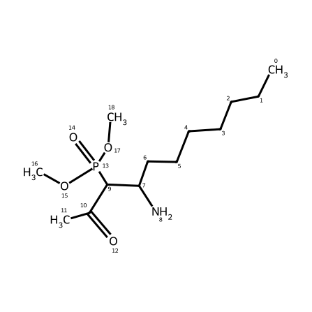 CCCCCCCC(N)C(C(C)=O)P(=O)(OC)OC